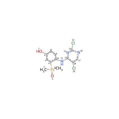 CP(C)(=O)c1cc(O)ccc1Nc1nc(Cl)ncc1Cl